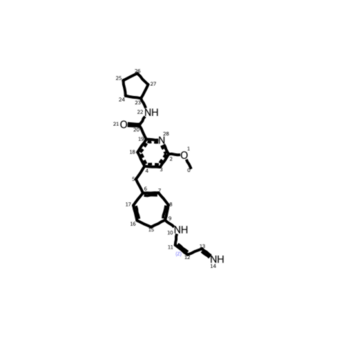 COc1cc(CC2=CC=C(N/C=C\C=N)CC=C2)cc(C(=O)NC2CCCC2)n1